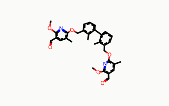 COc1nc(OCc2cccc(-c3cccc(COc4nc(OC)c(C=O)cc4C)c3C)c2C)c(C)cc1C=O